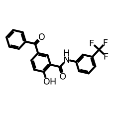 O=C(c1ccccc1)c1ccc(O)c(C(=O)Nc2cccc(C(F)(F)F)c2)c1